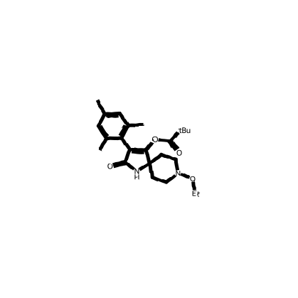 CCON1CCC2(CC1)NC(=O)C(c1c(C)cc(C)cc1C)=C2OC(=O)C(C)(C)C